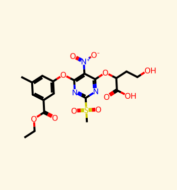 CCOC(=O)c1cc(C)cc(Oc2nc(S(C)(=O)=O)nc(OC(CCO)C(=O)O)c2[N+](=O)[O-])c1